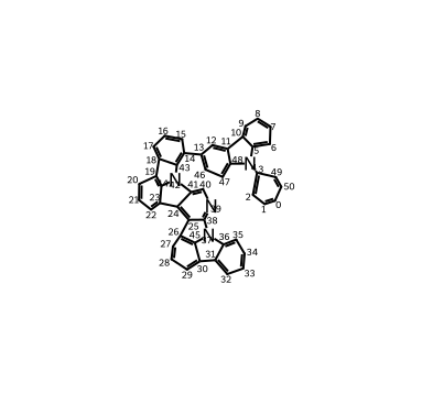 c1ccc(-n2c3ccccc3c3cc(-c4cccc5c6cccc7c8c9c%10cccc%11c%12ccccc%12n(c9ncc8n(c45)c67)c%11%10)ccc32)cc1